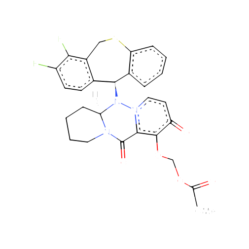 COC(=O)OCOc1c2n(ccc1=O)N([C@@H]1c3ccccc3SCc3c1ccc(F)c3F)[C@@H]1CCCCN1C2=O